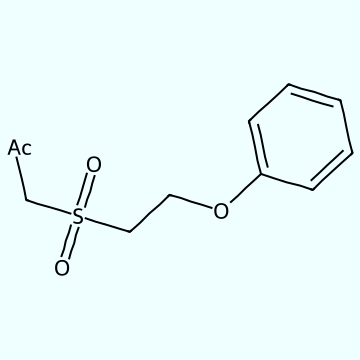 CC(=O)CS(=O)(=O)CCOc1ccccc1